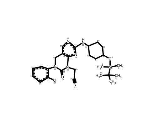 CC(C)(C)[Si](C)(C)OC1CCC(Nc2ncc3c(n2)N(CC#N)C(=O)N(c2ccccc2Cl)C3)CC1